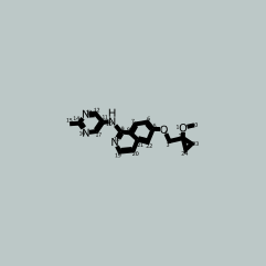 COC1(COc2ccc3c(Nc4cnc(C)nc4)nccc3c2)CC1